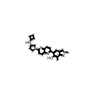 Cc1c(O)c(-c2ccc3nc(N4CC[C@H](NC5CCC5)C4)ccc3n2)cc2cn(C)nc12